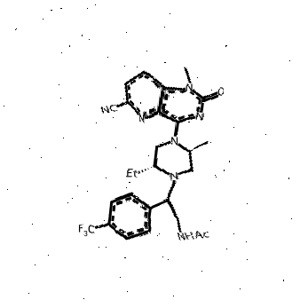 CC[C@@H]1CN(c2nc(=O)n(C)c3ccc(C#N)nc23)[C@@H](C)CN1C(CNC(C)=O)c1ccc(C(F)(F)F)cc1